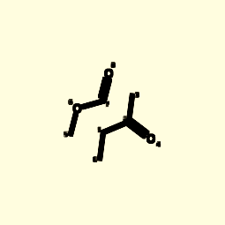 CCC(C)=O.COC=O